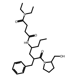 CCCC(CC(Cc1ccccc1)C(=O)N1CCCC1CO)NC(=O)CCC(=O)N(CC)CC